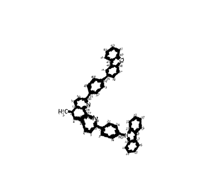 CC1Cc2ccc(-c3ccc(-n4c5ccccc5c5ccccc54)cc3)nc2-c2nc(-c3ccc(-c4ccc5oc6ccccc6c5c4)cc3)ccc21